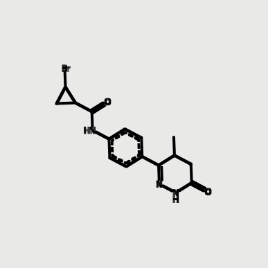 CC1CC(=O)NN=C1c1ccc(NC(=O)C2CC2Br)cc1